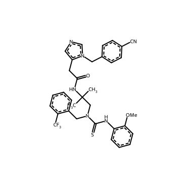 COc1ccccc1NC(=S)N(Cc1ccccc1C(F)(F)F)CC(C)(C)NC(=O)Cc1cncn1Cc1ccc(C#N)cc1